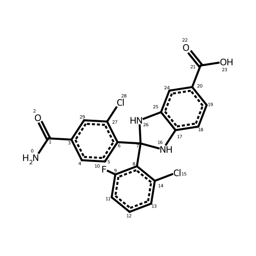 NC(=O)c1ccc(C2(c3c(F)cccc3Cl)Nc3ccc(C(=O)O)cc3N2)c(Cl)c1